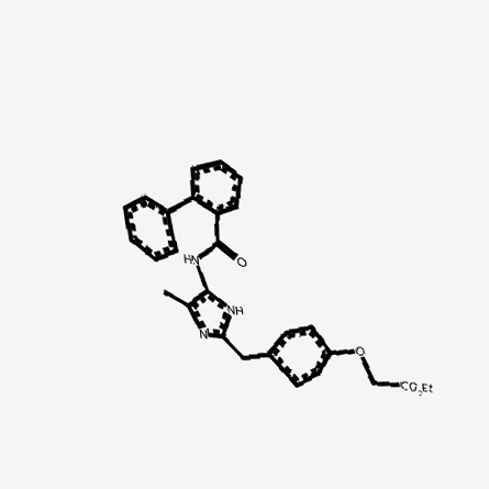 CCOC(=O)COc1ccc(Cc2nc(C)c(NC(=O)c3ccccc3-c3ccccc3)[nH]2)cc1